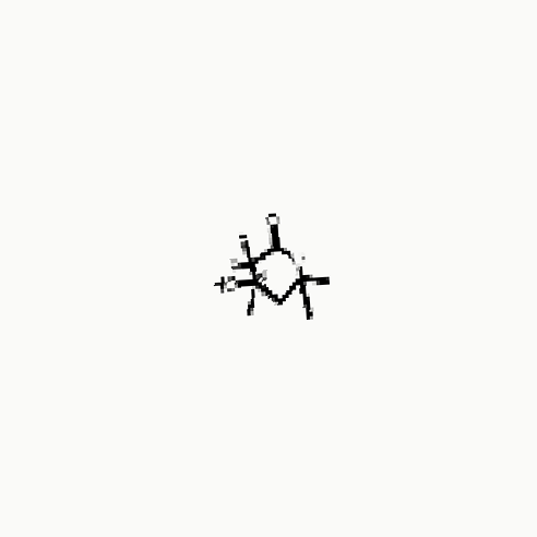 CC1(C)C[C@](C)(O)C(F)(F)C(=O)O1